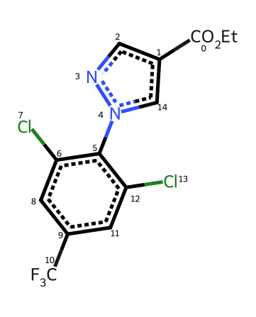 CCOC(=O)c1cnn(-c2c(Cl)cc(C(F)(F)F)cc2Cl)c1